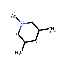 [CH2]C(=O)N1CC(C)CC(C)C1